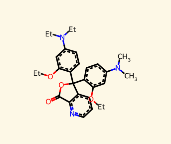 CCOc1cc(N(C)C)ccc1C1(c2ccc(N(CC)CC)cc2OCC)OC(=O)c2ncccc21